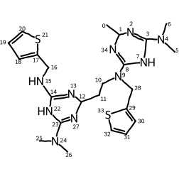 CC1N=C(N(C)C)NC(N(CCC2N=C(NCc3cccs3)NC(N(C)C)=N2)Cc2cccs2)=N1